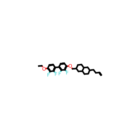 C=CCCC1CCC2CC(COc3ccc(-c4ccc(OCC)c(F)c4F)c(F)c3F)CCC2C1